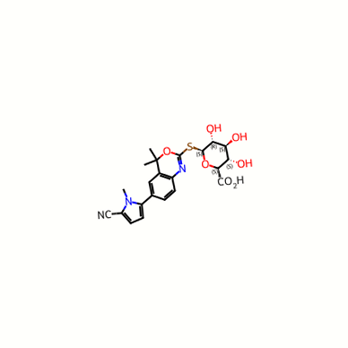 Cn1c(C#N)ccc1-c1ccc2c(c1)C(C)(C)OC(S[C@@H]1O[C@H](C(=O)O)[C@@H](O)[C@H](O)[C@H]1O)=N2